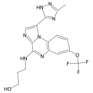 Cc1n[nH]c(-c2cnc3c(NCCCO)nc4cc(OC(F)(F)F)ccc4n23)n1